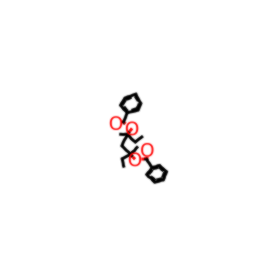 CCC(C)(CC(C)(CC)OC(=O)c1ccccc1)OC(=O)c1ccccc1